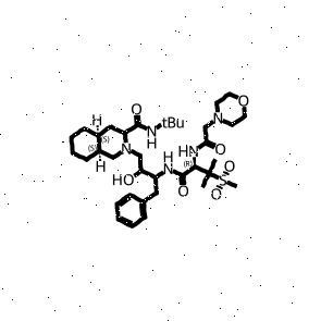 CC(C)(C)NC(=O)C1C[C@@H]2CCCC[C@@H]2CN1CC(O)C(Cc1ccccc1)NC(=O)[C@@H](NC(=O)CN1CCOCC1)C(C)(C)S(C)(=O)=O